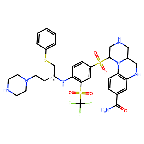 NC(=O)c1ccc2c(c1)NCC1CNCC(S(=O)(=O)c3ccc(N[C@H](CCN4CCNCC4)CSc4ccccc4)c(S(=O)(=O)C(F)(F)F)c3)N21